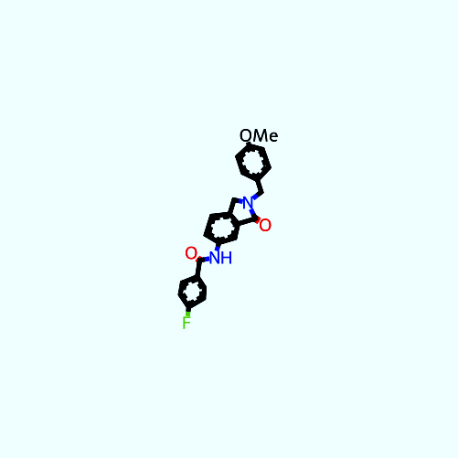 COc1ccc(CN2Cc3ccc(NC(=O)c4ccc(F)cc4)cc3C2=O)cc1